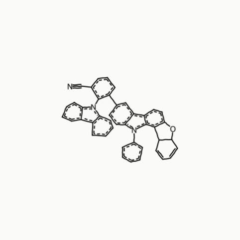 N#Cc1cccc(-c2ccc3c(c2)c2ccc4c(c2n3-c2ccccc2)C2C=CC=CC2O4)c1-n1c2ccccc2c2ccccc21